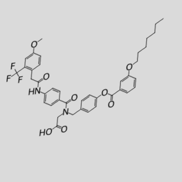 CCCCCCCOc1cccc(C(=O)Oc2ccc(CN(CC(=O)O)C(=O)c3ccc(NC(=O)Cc4ccc(OC)cc4C(F)(F)F)cc3)cc2)c1